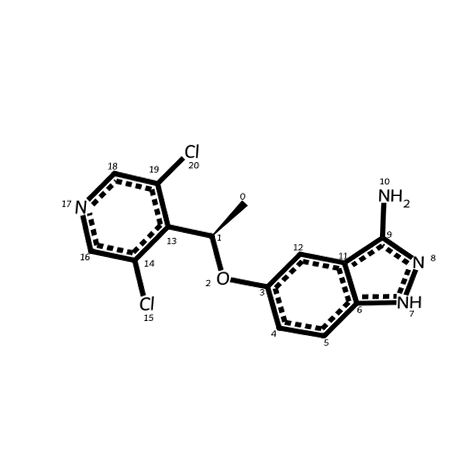 C[C@@H](Oc1ccc2[nH]nc(N)c2c1)c1c(Cl)cncc1Cl